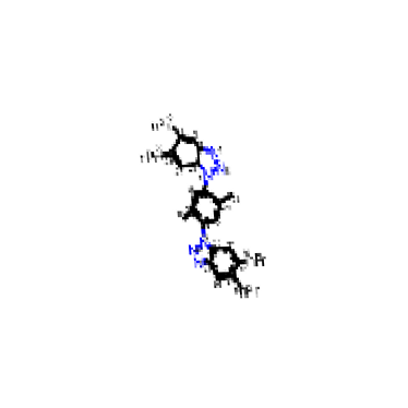 CCCC1=CC2N=NN(c3cc(C)c(-n4nnc5cc(CCC)c(CCC)cc54)cc3C)C2C=C1CCC